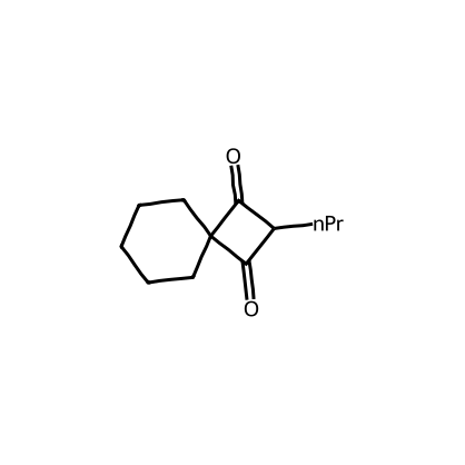 CCCC1C(=O)C2(CCCCC2)C1=O